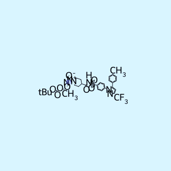 Cc1ccc(-c2cc(C(F)(F)F)nn2-c2ccc(S(=O)(=O)NC(=O)C3CCN(/[N+]([O-])=N\OC(C)OC(=O)OC(C)(C)C)CC3)cc2)cc1